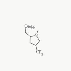 COC[C@@H]1C[C@H](C(F)(F)F)CN1C